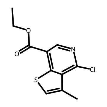 CCOC(=O)c1cnc(Cl)c2c(C)csc12